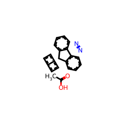 CC(=O)O.N#N.c1cc2ccc1-2.c1ccc2c(c1)Cc1ccccc1-2